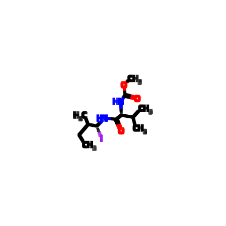 CCC(C)[C@@H](I)NC(=O)[C@@H](NC(=O)OC)C(C)C